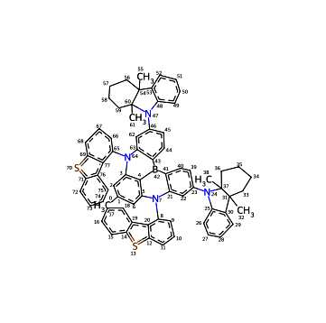 Cc1cc2c3c(c1)N(c1cccc4sc5ccccc5c14)c1cc(N4c5ccccc5C5(C)CCCCC45C)ccc1B3c1ccc(N3c4ccccc4C4(C)CCCCC34C)cc1N2c1cccc2sc3ccccc3c12